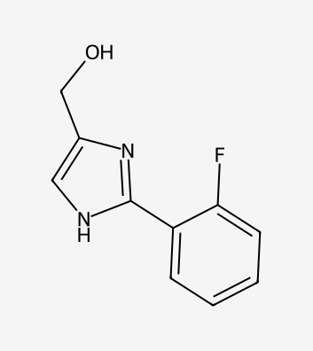 OCc1c[nH]c(-c2ccccc2F)n1